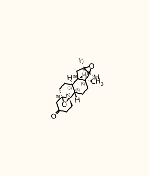 C[C@]12CC[C@H]3[C@@H](CC[C@]45CC(=O)CC[C@]34O5)[C@@H]1C[C@H]1O[C@H]12